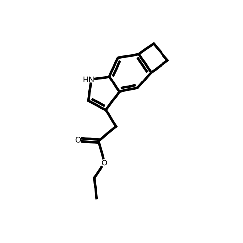 CCOC(=O)Cc1c[nH]c2cc3c(cc12)CC3